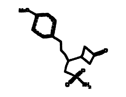 COc1ccc(CCC(CS(N)(=O)=O)C2CC(=O)C2)cc1